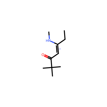 CC/C(=C/C(=O)C(C)(C)C)NC